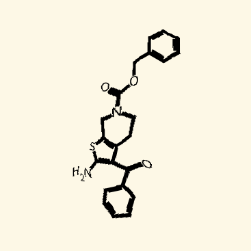 Nc1sc2c(c1C(=O)c1ccccc1)CCN(C(=O)OCc1ccccc1)C2